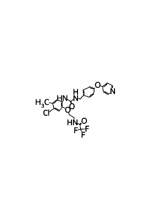 Cc1cc(NC(=O)NCc2ccc(Oc3ccncc3)cc2)c(OCCNC(=O)C(F)(F)F)cc1Cl